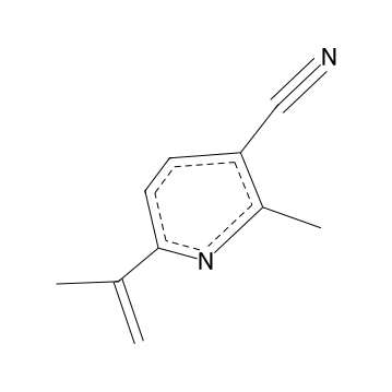 C=C(C)c1ccc(C#N)c(C)n1